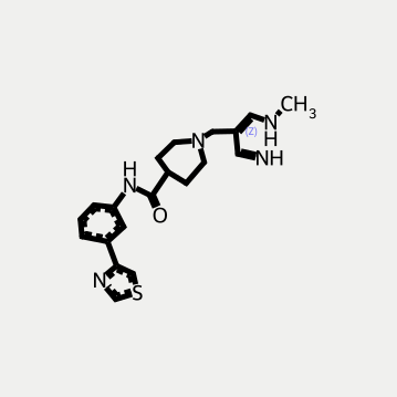 CN/C=C(\C=N)CN1CCC(C(=O)Nc2cccc(-c3cscn3)c2)CC1